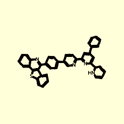 C1=CNC(c2cc(-c3ccccc3)cc(-c3ccc(-c4ccc(-c5nc6ccccc6c6sc7ccccc7c56)cc4)cn3)n2)C=C1